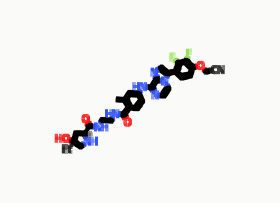 CC[C@@]1(O)CN[C@H](C(=O)NCCNC(=O)c2ccc(Nc3nccn4c(-c5ccc(OCC#N)c(F)c5F)cnc34)cc2C)C1